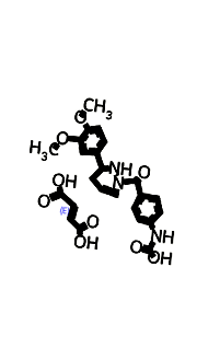 COc1ccc(C2CC=CN(C(=O)c3ccc(NC(=O)O)cc3)N2)cc1OC.O=C(O)/C=C/C(=O)O